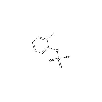 CCS(=O)(=O)Oc1ccccc1C